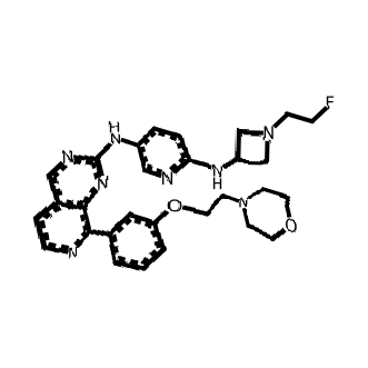 FCCN1CC(Nc2ccc(Nc3ncc4ccnc(-c5cccc(OCCN6CCOCC6)c5)c4n3)cn2)C1